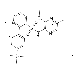 COc1nc(C)cnc1NS(=O)(=O)c1cccnc1-c1ccc([Si](C)(C)C)cc1